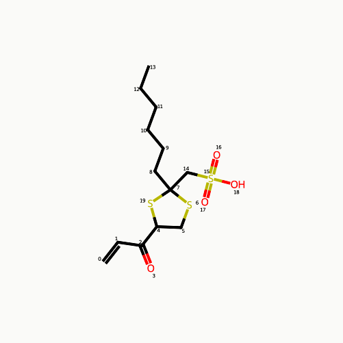 C=CC(=O)C1CSC(CCCCCC)(CS(=O)(=O)O)S1